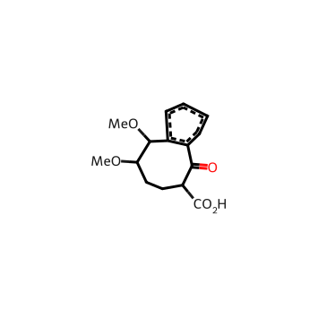 COC1CCC(C(=O)O)C(=O)c2ccccc2C1OC